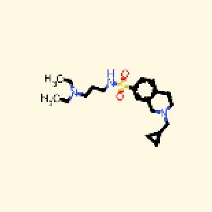 CCN(CC)CCCNS(=O)(=O)c1ccc2c(c1)CN(CC1CC1)CC2